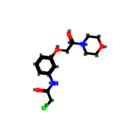 O=C(CCl)Nc1cccc(OCC(=O)N2CCOCC2)c1